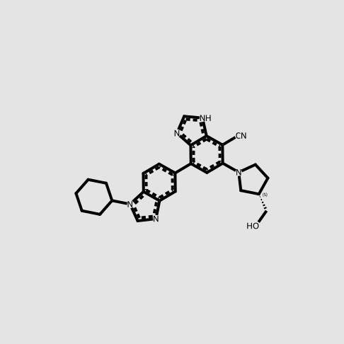 N#Cc1c(N2CC[C@H](CO)C2)cc(-c2ccc3c(c2)ncn3C2CCCCC2)c2nc[nH]c12